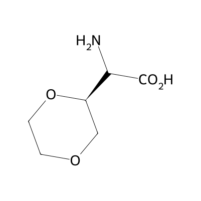 NC(C(=O)O)[C@H]1COCCO1